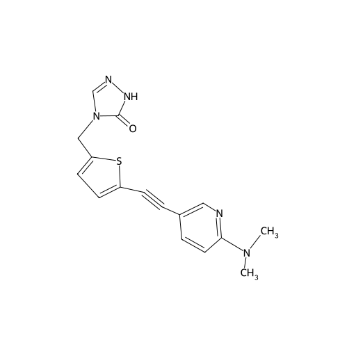 CN(C)c1ccc(C#Cc2ccc(Cn3cn[nH]c3=O)s2)cn1